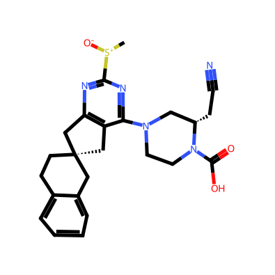 C[S+]([O-])c1nc2c(c(N3CCN(C(=O)O)[C@@H](CC#N)C3)n1)C[C@]1(CCc3ccccc3C1)C2